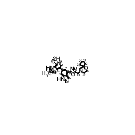 COc1ncc(-c2cc(-c3nnc(CN4CCOC5(CCCC5)C4)o3)c3cn[nH]c3c2)cc1NS(C)(=O)=O